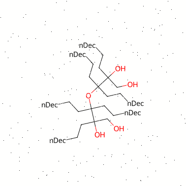 CCCCCCCCCCCCC(O)(CO)C(CCCCCCCCCCCC)(CCCCCCCCCCCC)OC(CCCCCCCCCCCC)(CCCCCCCCCCCC)C(O)(CO)CCCCCCCCCCCC